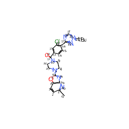 Cc1ccc2oc(N3CCN(C(=O)c4ccc(-c5ncn(C(C)(C)C)n5)c(Cl)c4)CC3)nc2n1